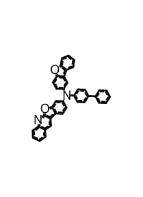 c1ccc(-c2ccc(N(c3ccc4c(c3)oc3nc5ccccc5cc34)c3ccc4oc5ccccc5c4c3)cc2)cc1